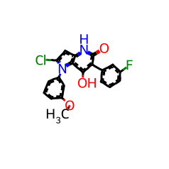 COc1cccc(-n2c(Cl)cc3[nH]c(=O)c(-c4cccc(F)c4)c(O)c32)c1